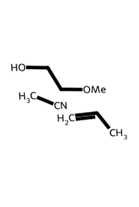 C=CC.CC#N.COCCO